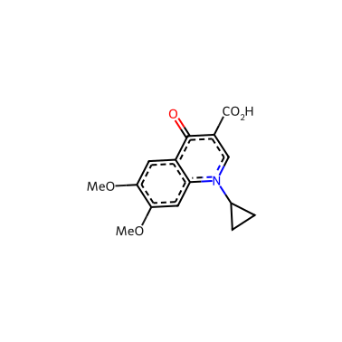 COc1cc2c(=O)c(C(=O)O)cn(C3CC3)c2cc1OC